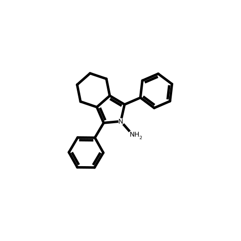 Nn1c(-c2ccccc2)c2c(c1-c1ccccc1)CCCC2